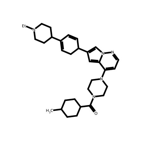 CCN1CCC(C2=CCC(c3cc4c(N5CCN(C(=O)C6CCC(C)CC6)CC5)ccnn4c3)C=C2)CC1